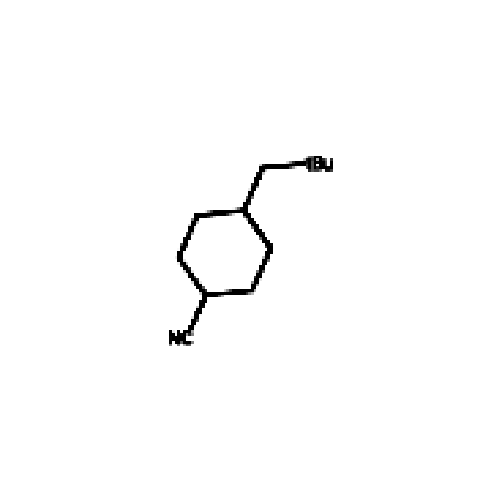 CC(C)(C)CC1CCC(C#N)CC1